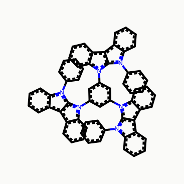 c1ccc(-n2c3ccccc3c3c4ccccc4n(-c4cc(-n5c6ccccc6c6c7ccccc7n(-c7ccccc7)c65)cc(-n5c6ccccc6c6c7ccccc7n(-c7ccccc7)c65)c4)c32)cc1